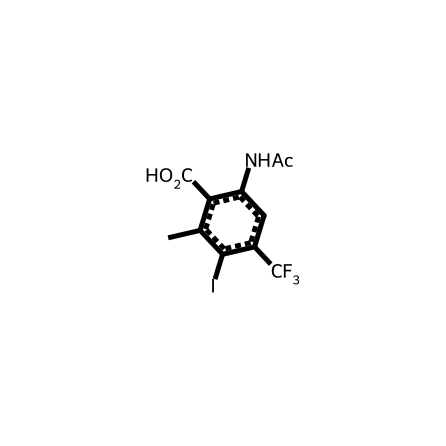 CC(=O)Nc1cc(C(F)(F)F)c(I)c(C)c1C(=O)O